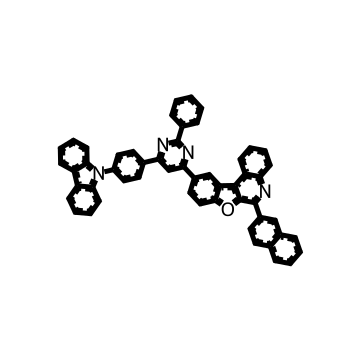 c1ccc(-c2nc(-c3ccc(-n4c5ccccc5c5ccccc54)cc3)cc(-c3ccc4oc5c(-c6ccc7ccccc7c6)nc6ccccc6c5c4c3)n2)cc1